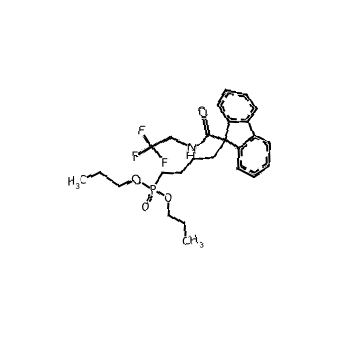 CCCOP(=O)(CCCCC1(C(=O)NCC(F)(F)F)c2ccccc2-c2ccccc21)OCCC